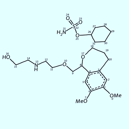 COc1cc2c(cc1OC)C(COCCNCCO)OCCC2.NS(=O)(=O)OC1CCCCC1